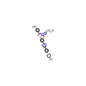 CCCc1ccc(C(=O)N[C@@H](Cc2ccc(-c3ncc(-c4ccc([C@H]5CC[C@H](CC)CC5)cc4)cn3)cc2)C(=O)N2CC(C(=O)O)C2)cc1